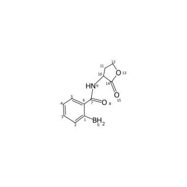 Bc1ccccc1C(=O)NC1CCOC1=O